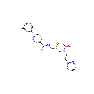 O=C(NCC1CN(CCc2ccccn2)C(=O)CO1)c1ccc(-c2cccc(F)c2)nc1